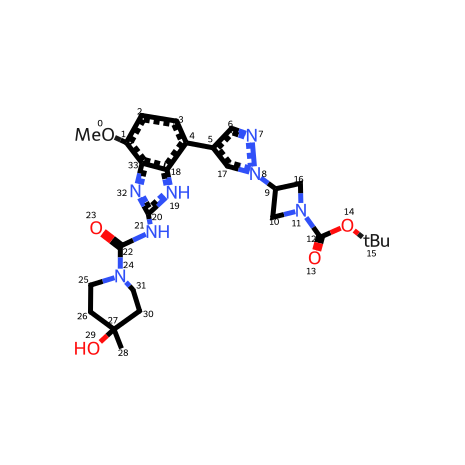 COc1ccc(-c2cnn(C3CN(C(=O)OC(C)(C)C)C3)c2)c2[nH]c(NC(=O)N3CCC(C)(O)CC3)nc12